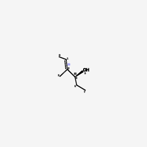 C/C=C(\C)[C@@H](O)CC